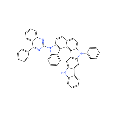 c1ccc(-c2nc(-n3c4ccccc4c4c5c(ccc6c5c5cc7[nH]c8ccccc8c7cc5n6-c5ccccc5)ccc43)nc3ccccc23)cc1